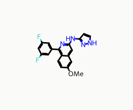 COc1ccc2c(-c3cc(F)cc(F)c3)nc(Nc3cc[nH]n3)cc2c1